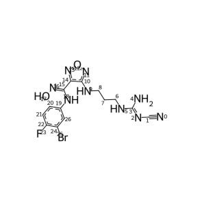 N#C/N=C(\N)NCCCNc1nonc1/C(=N/O)Nc1ccc(F)c(Br)c1